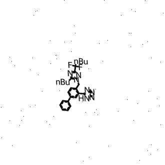 CCCCc1nc(C(F)(F)CCCC)nn1Cc1ccc(-c2ccccc2)cc1-c1nnn[nH]1